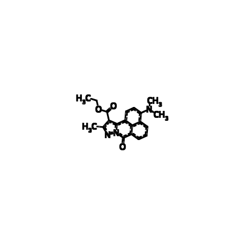 CCOC(=O)c1c(C)nn2c(=O)c3cccc4c(N(C)C)ccc(c43)c12